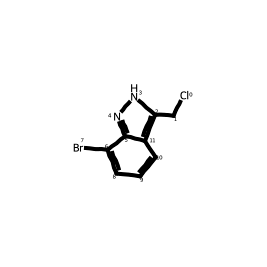 ClCc1[nH]nc2c(Br)cccc12